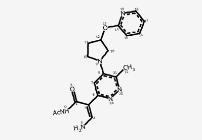 CC(=O)NC(=O)/C(=C\N)c1cc(N2CCC(Oc3ccccn3)C2)c(C)nn1